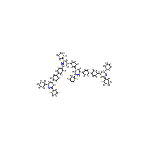 c1ccc(-c2cc(-c3ccc(-c4ccc(-c5cc(-c6cccc(-c7cc(-c8ccccc8)nc(-c8ccc(-c9ccc(-c%10cc(-c%11ccccc%11)nc(-c%11ccccc%11)c%10)cc9)cc8)c7)c6)cc(-c6ccccc6)n5)cc4)cc3)cc(-c3ccccc3)n2)cc1